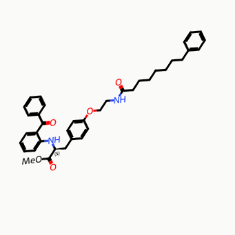 COC(=O)[C@H](Cc1ccc(OCCNC(=O)CCCCCCCc2ccccc2)cc1)Nc1ccccc1C(=O)c1ccccc1